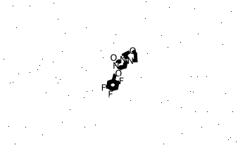 O=c1nc(OCc2cc(F)c(F)cc2F)cc2n1CC1CN2CCO1